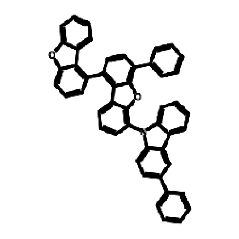 c1ccc(-c2ccc3c(c2)c2ccccc2n3-c2cccc3c2oc2c(-c4ccccc4)ccc(-c4cccc5oc6ccccc6c45)c23)cc1